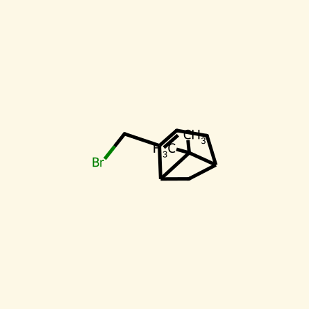 CC1(C)C2CC=C(CBr)C1C2